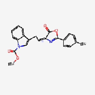 CC(C)(C)OC(=O)n1cc(C/C=C2/N=C(c3ccc(C(C)(C)C)cc3)OC2=O)c2ccccc21